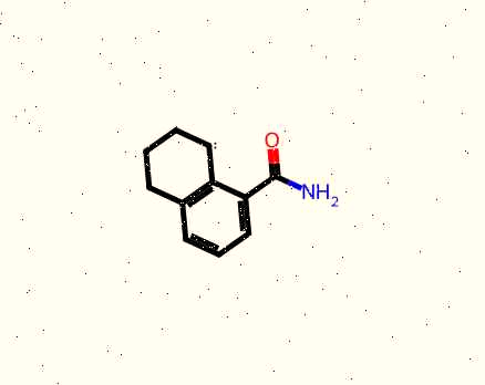 NC(=O)c1cccc2c1[C]CCC2